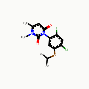 CC(=O)C(Sc1cc(-n2c(=O)cc(C(F)(F)F)n(C)c2=O)c(F)cc1Cl)C(C)C